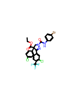 CCOC(=O)C1(c2ccc(Cl)cc2)CN(C(=O)Nc2ccc(Br)cc2)N=C1c1ccc(C(F)(F)F)c(Cl)c1